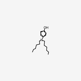 CCCCCCN(CCCCCC)c1ccc(O)cc1